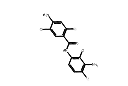 Nc1cc(Cl)c(C(=O)Nc2ccc(Cl)c(N)c2Cl)cc1Cl